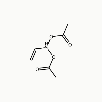 C=C[SiH](OC(C)=O)OC(C)=O